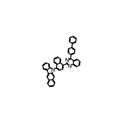 c1ccc(-c2ccc(-c3nc(-c4ccc(-n5c6ccccc6c6cc7ccccc7cc65)c5ccccc45)nc4ccccc34)cc2)cc1